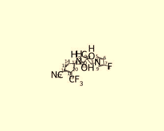 CC(O)(Cn1ccc(F)c1)C(O)Nc1ccc(C#N)c(C(F)(F)F)c1